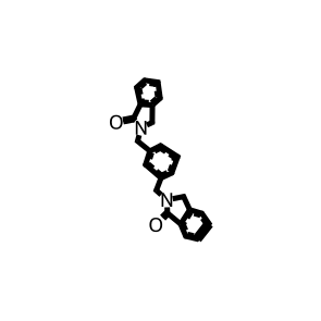 O=C1c2cc#ccc2CN1Cc1cccc(CN2Cc3ccccc3C2=O)c1